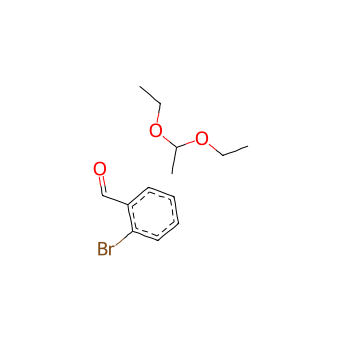 CCOC(C)OCC.O=Cc1ccccc1Br